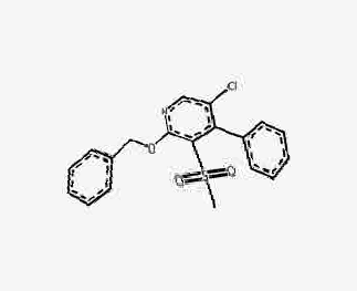 CS(=O)(=O)c1c(OCc2ccccc2)ncc(Cl)c1-c1ccccc1